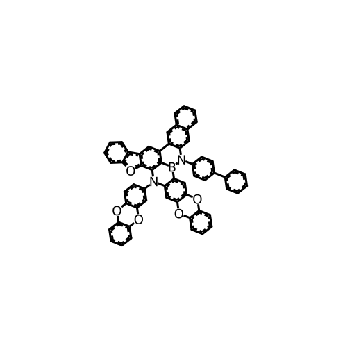 c1ccc(-c2ccc(N3B4c5cc6c(cc5N(c5ccc7c(c5)Oc5ccccc5O7)c5c4c(cc4c5oc5ccccc54)-c4cc5ccccc5cc43)Oc3ccccc3O6)cc2)cc1